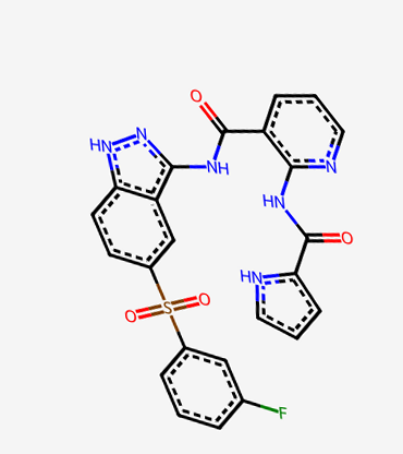 O=C(Nc1ncccc1C(=O)Nc1n[nH]c2ccc(S(=O)(=O)c3cccc(F)c3)cc12)c1ccc[nH]1